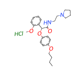 CCCCOc1ccc(OC(C(=O)NCCN2CCCC2)c2ccccc2OC)cc1.Cl